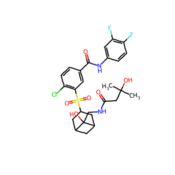 CC(C)(O)CC(=O)NCC1(O)C2CC1CC(S(=O)(=O)c1cc(C(=O)Nc3ccc(F)c(F)c3)ccc1Cl)C2